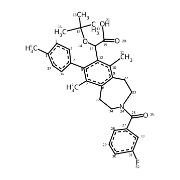 Cc1ccc(-c2c(C)c3c(c(C)c2C(OC(C)(C)C)C(=O)O)CCN(C(=O)c2cccc(F)c2)CC3)cc1